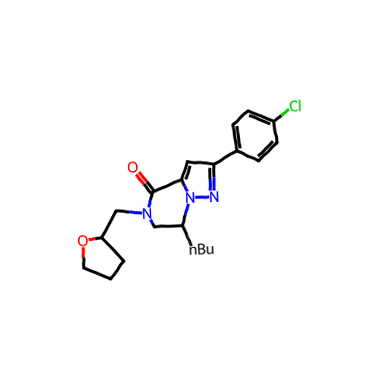 CCCCC1CN(CC2CCCO2)C(=O)c2cc(-c3ccc(Cl)cc3)nn21